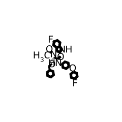 CC(=O)N(c1c[nH]c2ccc(F)cc12)[C@@H](COCc1ccccc1)C(=O)Nc1ccc(Oc2ccc(F)cc2)cc1